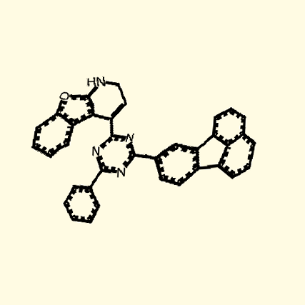 C1=C(c2nc(-c3ccccc3)nc(-c3ccc4c(c3)-c3cccc5cccc-4c35)n2)c2c(oc3ccccc23)NC1